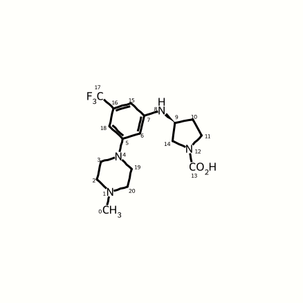 CN1CCN(c2cc(N[C@H]3CCN(C(=O)O)C3)cc(C(F)(F)F)c2)CC1